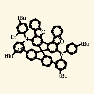 CCc1cc(C(C)(C)C)ccc1N(c1ccc(C(C)(C)C)cc1)c1cc2c(c3oc4ccccc4c13)-c1c(cc(N(c3ccc(C(C)(C)C)cc3)c3ccc(C(C)(C)C)cc3)c3oc4ccccc4c13)C21c2cc(C)ccc2-c2ccc(Cl)cc21